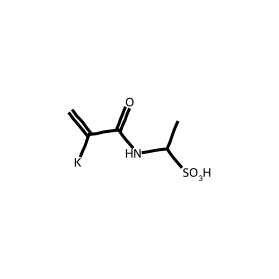 C=[C]([K])C(=O)NC(C)S(=O)(=O)O